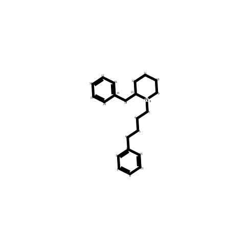 c1ccc(CCCCN2CCCCC2Cc2ccccc2)cc1